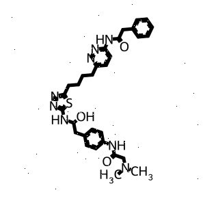 CN(C)CC(=O)Nc1ccc(CC(O)Nc2nnc(CCCCc3ccc(NC(=O)Cc4ccccc4)nn3)s2)cc1